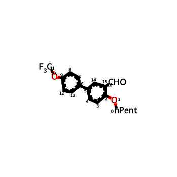 CCCCCOc1ccc(-c2ccc(OC(F)(F)F)cc2)cc1C=O